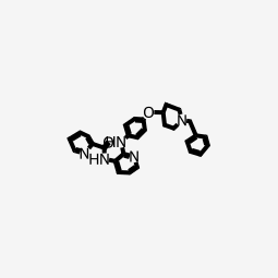 O=C(Nc1cccnc1Nc1ccc(OC2CCN(Cc3ccccc3)CC2)cc1)c1ccccn1